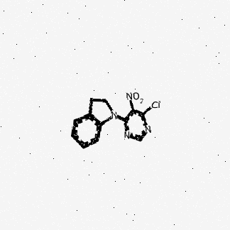 O=[N+]([O-])c1c(Cl)ncnc1N1CCc2ccccc21